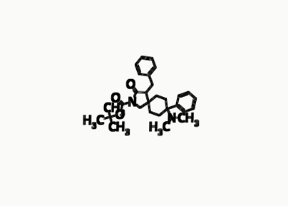 CN(C)C1(c2ccccc2)CCC2(CC1)CN(C(=O)OC(C)(C)C)C(=O)C2Cc1ccccc1